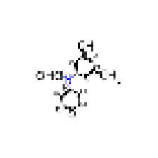 Cc1cc(C)cc(N(C=O)c2ccccc2)c1